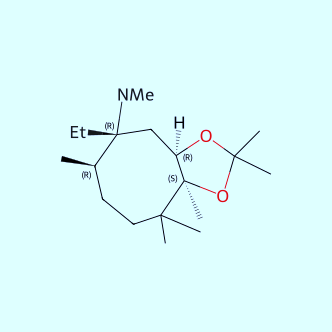 CC[C@@]1(NC)C[C@H]2OC(C)(C)O[C@@]2(C)C(C)(C)CC[C@H]1C